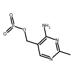 Cc1ncc(COP(=O)=O)c(N)n1